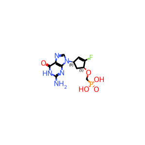 Nc1nc2c(ncn2[C@H]2C=C(F)[C@@H](OCP(=O)(O)O)C2)c(=O)[nH]1